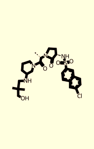 C[C@@H](C(=O)N1CCCC(NCC(C)(C)CO)C1)N1CC[C@H](NS(=O)(=O)c2ccc3cc(Cl)ccc3c2)C1=O